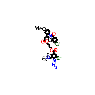 CCN(CC)Cc1cc(C(=O)OCCCCOC(=O)Cc2c(C)n(C(=O)c3ccc(Cl)cc3)c3ccc(OC)cc23)cc(Br)c1N